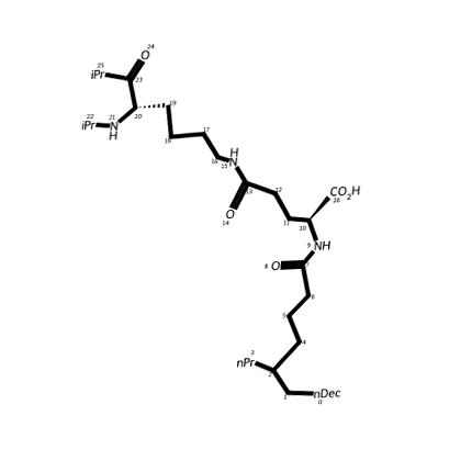 CCCCCCCCCCCC(CCC)CCCC(=O)N[C@@H](CCC(=O)NCCCC[C@H](NC(C)C)C(=O)C(C)C)C(=O)O